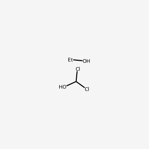 CCO.OC(Cl)Cl